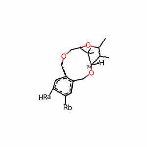 CC1OC2COCc3c[c]([RaH])[c]([Rb])cc3CO[C@@H](C1C)C2(C)C